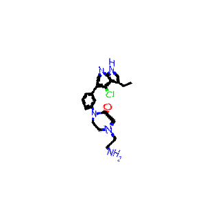 CCc1c[nH]c2ncc(-c3cccc(N4CCN(CCN)CC4=O)c3)c(Cl)c12